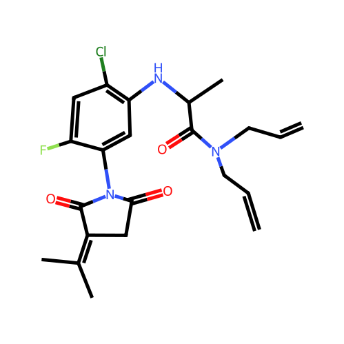 C=CCN(CC=C)C(=O)C(C)Nc1cc(N2C(=O)CC(=C(C)C)C2=O)c(F)cc1Cl